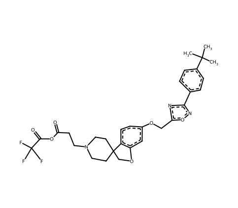 CC(C)(C)c1ccc(-c2noc(COc3ccc4c(c3)OCC43CCN(CCC(=O)OC(=O)C(F)(F)F)CC3)n2)cc1